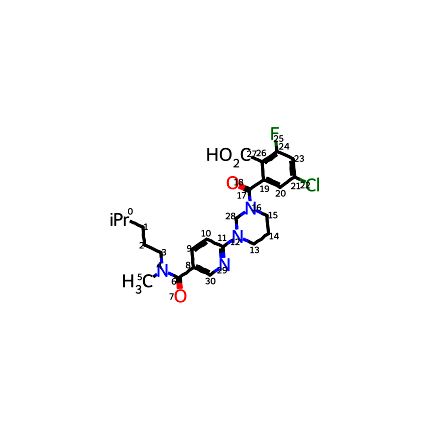 CC(C)CCCN(C)C(=O)c1ccc(N2CCCN(C(=O)c3cc(Cl)cc(F)c3C(=O)O)C2)nc1